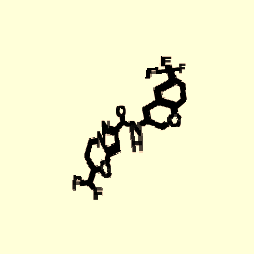 O=C(NC1COc2ccc(C(F)(F)F)cc2C1)c1cc2n(n1)CCC(C(F)F)O2